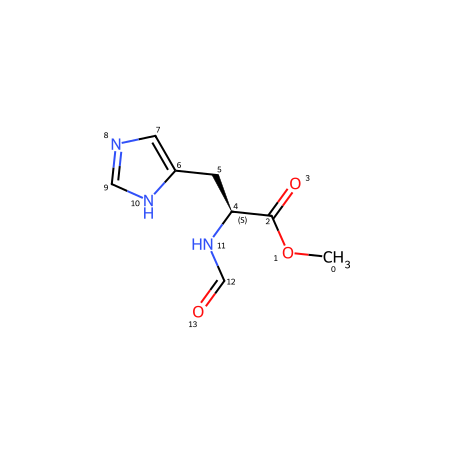 COC(=O)[C@H](Cc1cnc[nH]1)NC=O